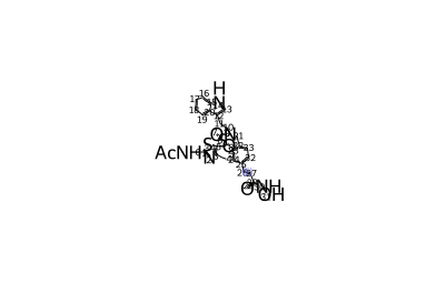 CC(=O)Nc1nc(C)c(S(=O)(=O)N(CCc2c[nH]c3ccccc23)Cc2ccc(/C=C/C(=O)NO)cc2)s1